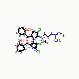 CN(C)CCCN(C)c1c(Cl)cc(C(=O)c2ccccc2O)n1-c1c(C(=O)c2ccccc2O)[nH]c(Cl)c1Cl